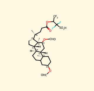 C[C@H](CCC(=O)OC(C(F)(F)F)C(F)(F)S(=O)(=O)O)[C@H]1CC[C@H]2[C@@H]3CCC4C[C@H](OC=O)CC[C@]4(C)[C@H]3C[C@H](OC=O)[C@]12C